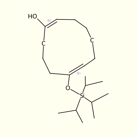 CC(C)[Si](O/C1=C/CCCC/C=C(/O)CCC1)(C(C)C)C(C)C